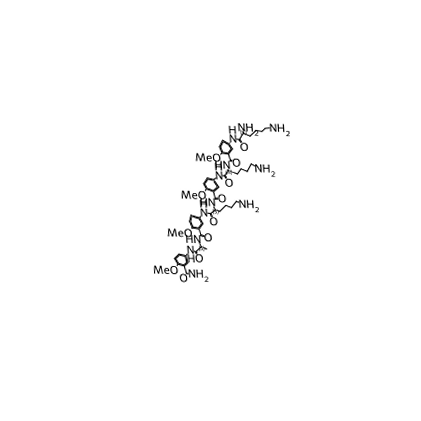 COc1ccc(NC(=O)[C@H](C)NC(=O)c2cc(NC(=O)[C@H](CCCCN)NC(=O)c3cc(NC(=O)[C@H](CCCCN)NC(=O)c4cc(NC(=O)[C@@H](N)CCCCN)ccc4OC)ccc3OC)ccc2OC)cc1C(N)=O